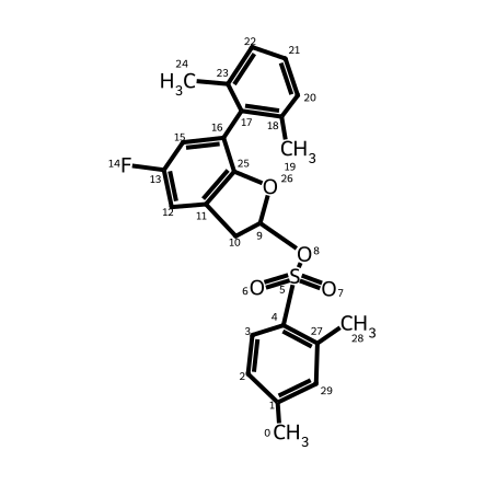 Cc1ccc(S(=O)(=O)OC2Cc3cc(F)cc(-c4c(C)cccc4C)c3O2)c(C)c1